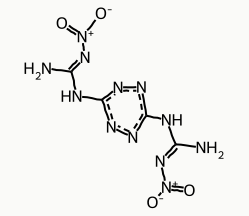 NC(=N[N+](=O)[O-])Nc1nnc(NC(N)=N[N+](=O)[O-])nn1